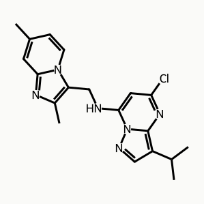 Cc1ccn2c(CNc3cc(Cl)nc4c(C(C)C)cnn34)c(C)nc2c1